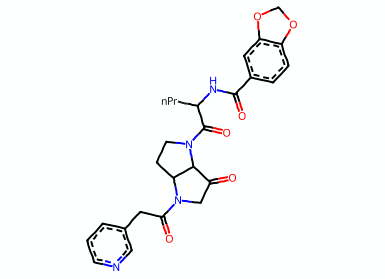 CCCC(NC(=O)c1ccc2c(c1)OCO2)C(=O)N1CCC2C1C(=O)CN2C(=O)Cc1cccnc1